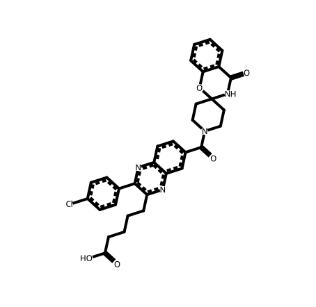 O=C(O)CCCCc1nc2cc(C(=O)N3CCC4(CC3)NC(=O)c3ccccc3O4)ccc2nc1-c1ccc(Cl)cc1